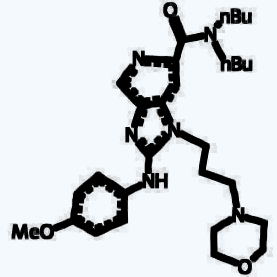 CCCCN(CCCC)C(=O)c1cc2c(cn1)nc(Nc1ccc(OC)cc1)n2CCCN1CCOCC1